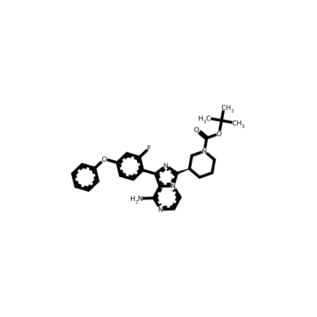 CC(C)(C)OC(=O)N1CCC[C@@H](c2nc(-c3ccc(Oc4ccccc4)cc3F)c3c(N)nccn23)C1